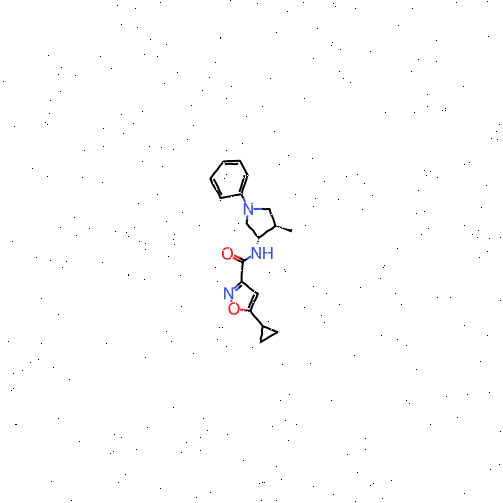 C[C@@H]1CN(c2ccccc2)C[C@H]1NC(=O)c1cc(C2CC2)on1